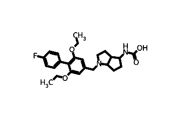 CCOc1cc(CN2CCC3C(NC(=O)O)CCC32)cc(OCC)c1-c1ccc(F)cc1